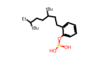 CCC(CCC(CCc1ccccc1OP(O)O)C(C)(C)C)C(C)(C)C